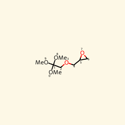 COC(COCC1CO1)(OC)OC